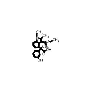 CCOC(=O)c1c(C)n(CC)c2cccc(C(C)(C(=O)O)c3cccc(O)c3)c12